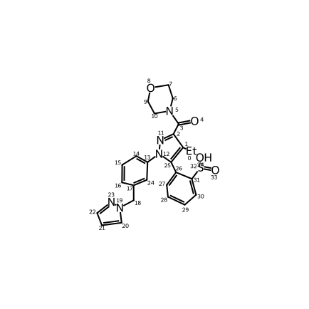 CCc1c(C(=O)N2CCOCC2)nn(-c2cccc(Cn3cccn3)c2)c1-c1ccccc1S(=O)O